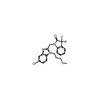 CSCCCn1c(CN2C(=O)C(F)(F)c3ccccc32)nc2cc(Cl)ccc21